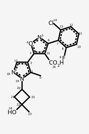 Cc1c(-c2onc(-c3c(F)cccc3Cl)c2C(=O)O)cnn1C1CC(C)(O)C1